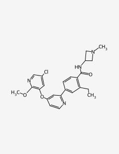 CCc1cc(-c2cc(Oc3cc(Cl)cnc3OC)ccn2)ccc1C(=O)NC1CN(C)C1